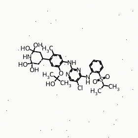 Cc1cc(Nc2ncc(Cl)c(Nc3ccccc3S(=O)(=O)C(C)C)n2)c(OC(C)(C)O)cc1C1CC(O)(O)NC(O)(O)C1